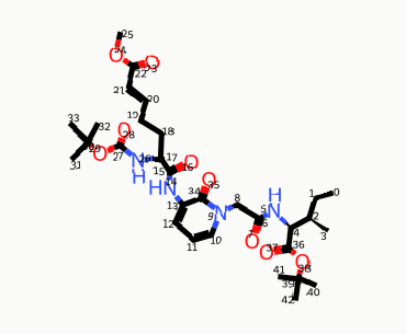 CC[C@@H](C)[C@H](NC(=O)Cn1cccc(NC(=O)C(CCC=CC(=O)OC)NC(=O)OC(C)(C)C)c1=O)C(=O)OC(C)(C)C